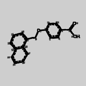 O=C(O)c1ccc(OCc2cccc3ccccc23)cc1